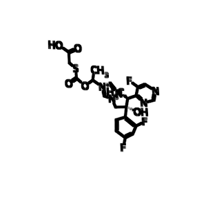 CC(OC(=O)SCC(=O)O)[n+]1cnn(C[C@](O)(c2ccc(F)cc2F)[C@@H](C)c2ncncc2F)c1